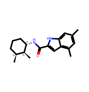 Cc1cc(C)c2cc(C(=O)N[C@H]3CCC[C@H](C)[C@@H]3C)[nH]c2c1